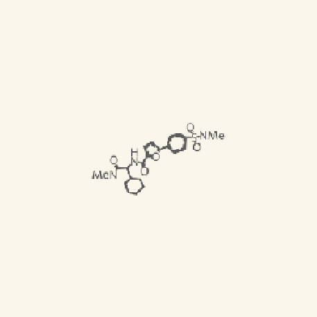 CNC(=O)C(NC(=O)c1ccc(-c2ccc(S(=O)(=O)NC)cc2)o1)C1CCCCC1